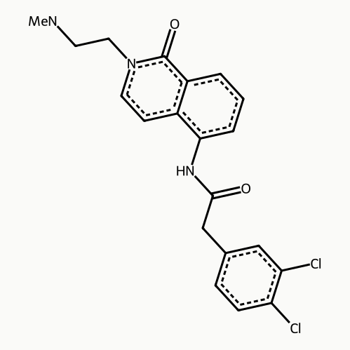 CNCCn1ccc2c(NC(=O)Cc3ccc(Cl)c(Cl)c3)cccc2c1=O